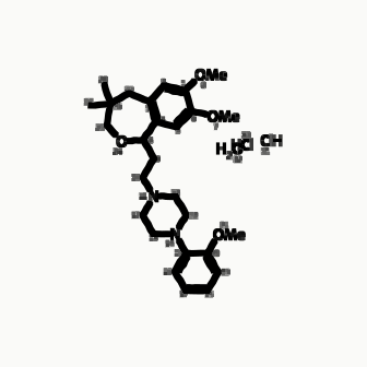 COc1cc2c(cc1OC)C(CCN1CCN(c3ccccc3OC)CC1)OCC(C)(C)C2.Cl.Cl.O